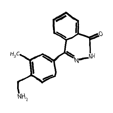 Cc1cc(-c2n[nH]c(=O)c3ccccc23)ccc1CN